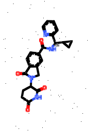 O=C1CCC(N2Cc3cc(C(=O)N[C@@H](c4ccccn4)C4CC4)ccc3C2=O)C(=O)N1